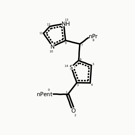 CCCCCC(=O)c1ccc(C(CCC)c2ncc[nH]2)s1